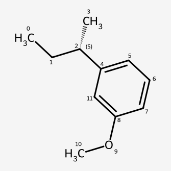 CC[C@H](C)c1cccc(OC)c1